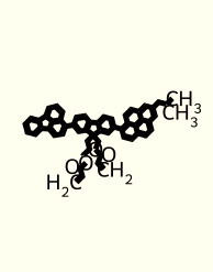 C=CC(=O)OCCCC1(COC(=O)C=C)c2cc(-c3ccc4c5c(cccc35)-c3ccccc3-4)ccc2-c2ccc(-c3ccc4ccc5cc(CC(C)C)cc6ccc3c4c56)cc21